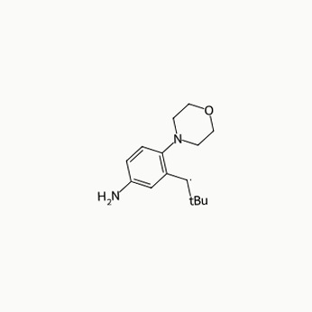 CC(C)(C)[CH]c1cc(N)ccc1N1CCOCC1